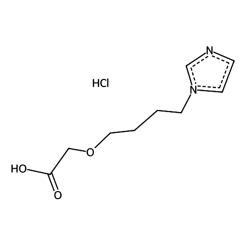 Cl.O=C(O)COCCCCn1ccnc1